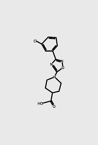 O=C(O)C1CCN(c2nc(-c3cccc(Cl)c3)no2)CC1